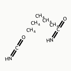 C.C.C.C.C.N=C=O.N=C=O